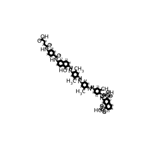 Cc1cc(N=Nc2cc(C)c(N=Nc3ccc4cc(NC(=O)c5ccc(NC(=O)CCC(=O)O)cc5)ccc4c3O)cc2C)ccc1N=Nc1ccc(N=Nc2cc3c(S(=O)(=O)O)cccc3cc2S(=O)(=O)O)c(C)c1